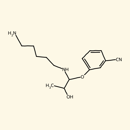 CC(O)C(NCCCCCN)Oc1cccc(C#N)c1